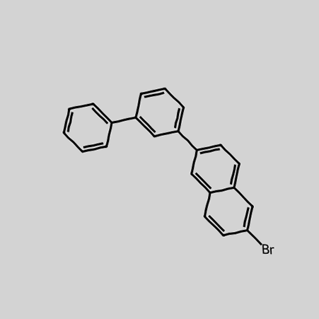 Brc1ccc2cc(-c3cccc(-c4ccccc4)c3)ccc2c1